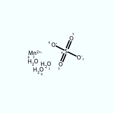 O.O.O.O=S(=O)([O-])[O-].[Mn+2]